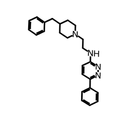 c1ccc(CC2CCN(CCNc3ccc(-c4ccccc4)nn3)CC2)cc1